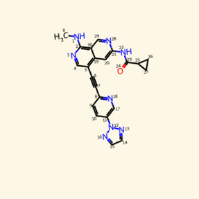 CNc1ncc(C#Cc2ccc(-n3nccn3)cn2)c2cc(NC(=O)C3CC3)ncc12